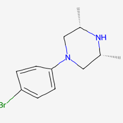 C[C@@H]1CN(c2ccc(Br)cc2)C[C@H](C)N1